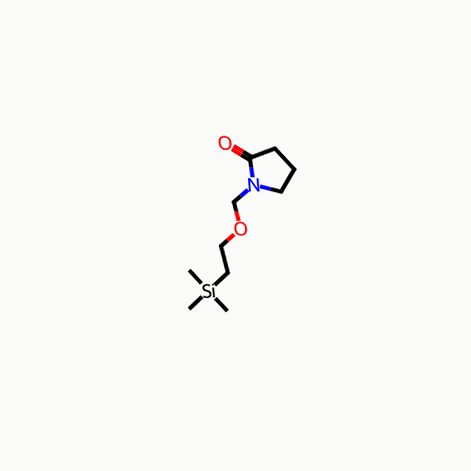 C[Si](C)(C)CCOCN1CCCC1=O